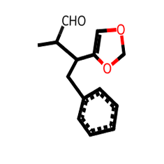 CC(C=O)C(Cc1ccccc1)C1=COCO1